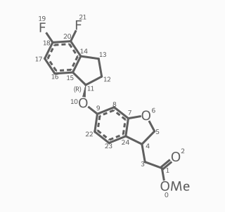 COC(=O)CC1COc2cc(O[C@@H]3CCc4c3ccc(F)c4F)ccc21